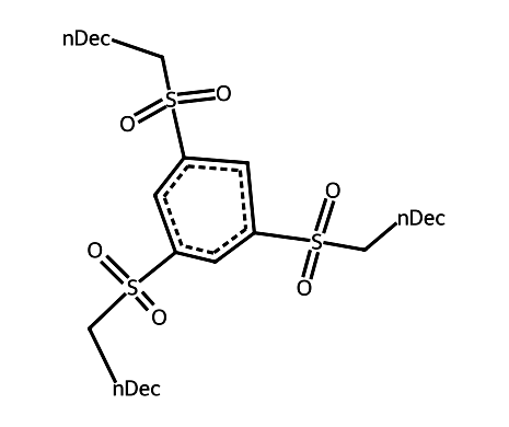 CCCCCCCCCCCS(=O)(=O)c1cc(S(=O)(=O)CCCCCCCCCCC)cc(S(=O)(=O)CCCCCCCCCCC)c1